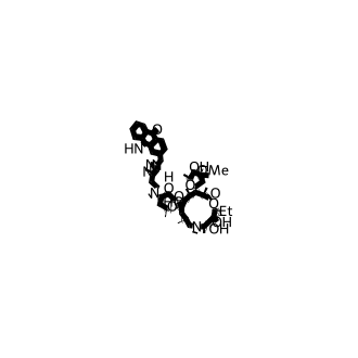 CC[C@H]1OC(=O)[C@H](C)[C@@H](C2C[C@@](C)(OC)[C@@H](O)[C@H](C)O2)[C@H](C)[C@@H](O[C@@H]2O[C@H](C)C[C@H](N(C)CCc3cn(Cc4ccc5c(c4)C(=N)c4ccccc4C5=O)nn3)[C@H]2O)[C@](C)(O)C[C@@H](C)CN(C)[C@H](C)[C@@H](O)[C@]1(C)O